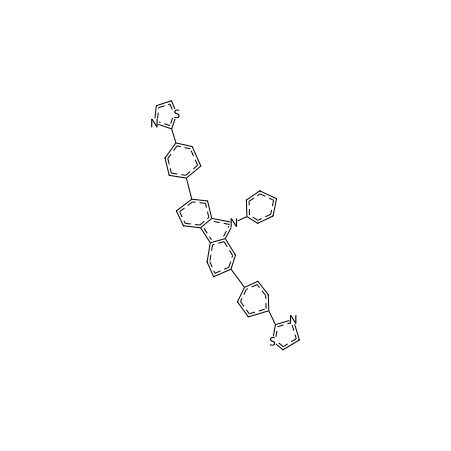 c1ccc(-n2c3cc(-c4ccc(-c5nccs5)cc4)ccc3c3ccc(-c4ccc(-c5nccs5)cc4)cc32)cc1